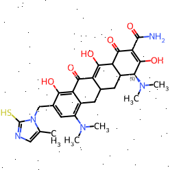 Cc1cnc(S)n1Cc1cc(N(C)C)c2c(c1O)C(=O)C1=C(O)C3C(=O)C(C(N)=O)=C(O)[C@@H](N(C)C)C3CC1C2